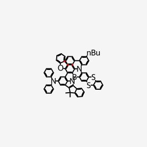 CCCCc1ccc(N2c3cc4c(cc3B3c5c2cc2c(oc6ccccc62)c5-c2cc(N(c5ccccc5)c5ccccc5)cc5c6c(n3c25)-c2ccccc2C6(C)C)Sc2ccccc2S4)c(-c2ccccc2)c1